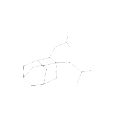 CC(C)CC1C2CC3CC(C2)CC1(CC(C)C)C3